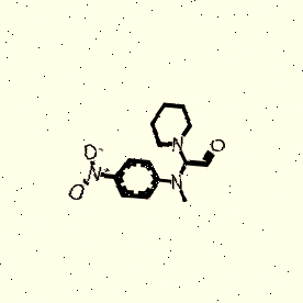 CN(c1ccc([N+](=O)[O-])cc1)C(C=O)N1CCCCC1